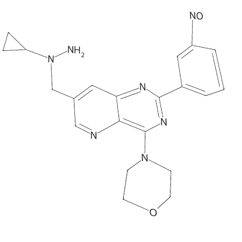 NN(Cc1cnc2c(N3CCOCC3)nc(-c3cccc(N=O)c3)nc2c1)C1CC1